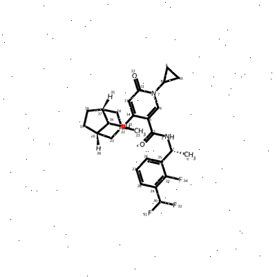 C[C@@H](NC(=O)c1cn(C2CC2)c(=O)cc1NC1[C@@H]2CC[C@H]1CN(C)C2)c1cccc(C(F)F)c1F